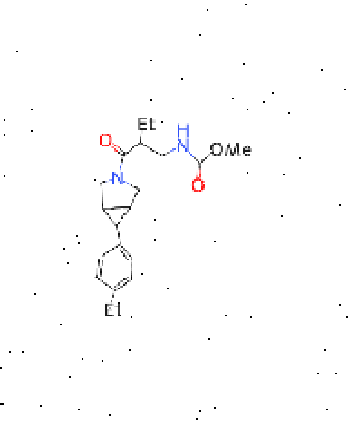 CCc1ccc(C2C3CN(C(=O)C(CC)CNC(=O)OC)CC32)cc1